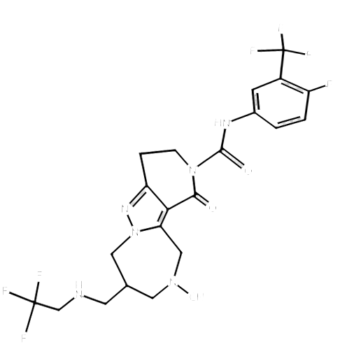 CN1Cc2c3c(nn2CC(CNCC(F)(F)F)C1)CCN(C(=O)Nc1ccc(F)c(C(F)(F)F)c1)C3=O